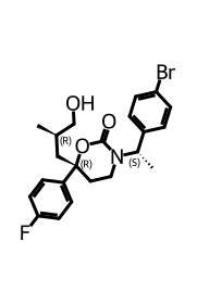 C[C@@H](CO)C[C@]1(c2ccc(F)cc2)CCN([C@@H](C)c2ccc(Br)cc2)C(=O)O1